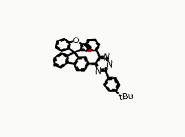 CC(C)(C)c1ccc(-c2nnc(-c3ccccc3)c(-c3ccc4c(c3)C3(c5ccccc5Oc5ccccc53)c3ccccc3-4)n2)cc1